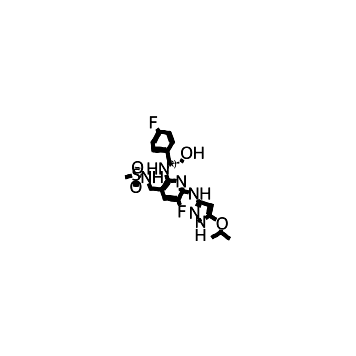 CC(C)Oc1cc(Nc2nc(N[C@@H](CO)c3ccc(F)cc3)c(CNS(C)(=O)=O)cc2F)n[nH]1